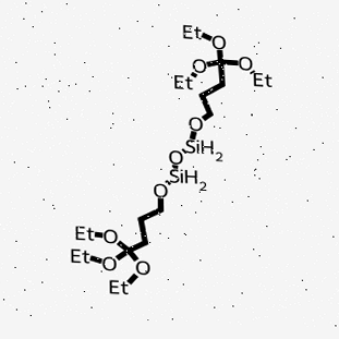 CCOC(CCCO[SiH2]O[SiH2]OCCCC(OCC)(OCC)OCC)(OCC)OCC